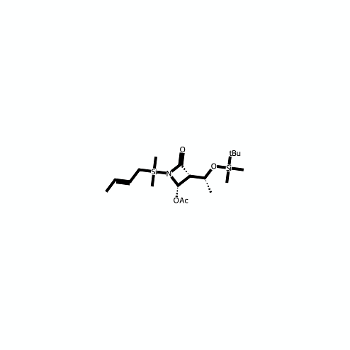 C/C=C/C[Si](C)(C)N1C(=O)[C@H]([C@@H](C)O[Si](C)(C)C(C)(C)C)[C@@H]1OC(C)=O